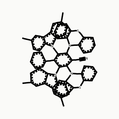 Cc1ccc2c(c1)c1cc(C)ccc1n2-c1c(-c2ccccc2)c(-n2c3ccc(C)cc3c3cc(C)ccc32)c(N2c3ccccc3Sc3ccccc32)c(C#N)c1N1c2ccccc2Sc2ccccc21